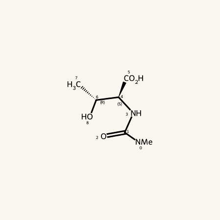 CNC(=O)N[C@H](C(=O)O)[C@@H](C)O